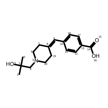 CC(C)(O)CN1CCC(=Cc2ccc(C(=O)O)cc2)CC1